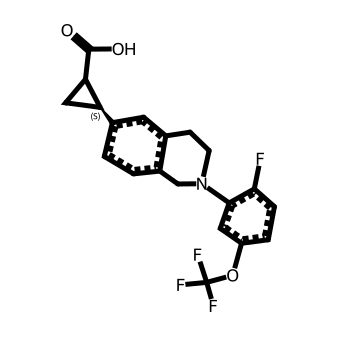 O=C(O)C1C[C@@H]1c1ccc2c(c1)CCN(c1cc(OC(F)(F)F)ccc1F)C2